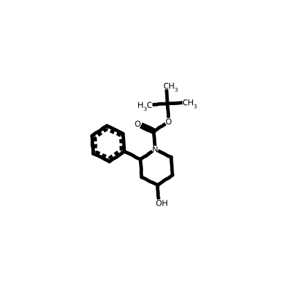 CC(C)(C)OC(=O)N1CCC(O)CC1c1ccccc1